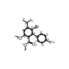 COC(=O)c1c(OC)cc(C(C)C)c(Br)c1-c1ccc(F)cc1